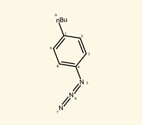 CCCCc1ccc(N=[N+]=[N-])cc1